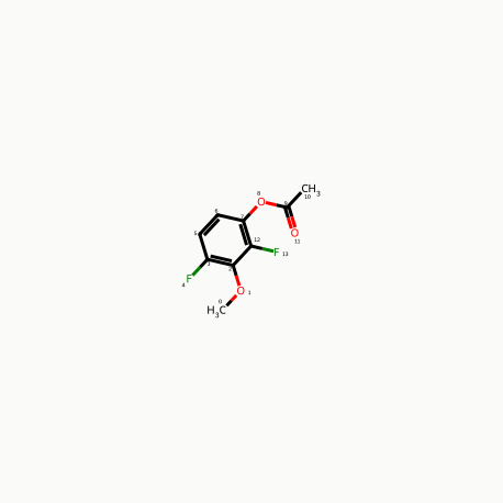 COc1c(F)ccc(OC(C)=O)c1F